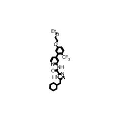 CCOCCOc1ccc(C(F)(F)F)c(-c2ccnc(NC(=O)c3nnc(CC4CCCCC4)[nH]3)c2)c1